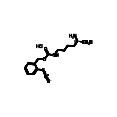 Cl.[N-]=[N+]=Nc1ccccc1COC(=O)NCCCC[C@H](N)C(=O)O